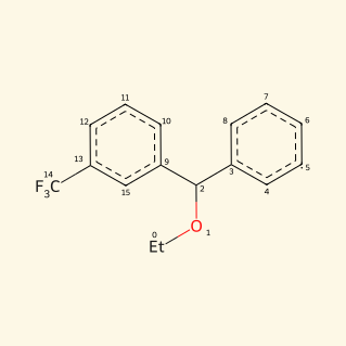 CCOC(c1c[c]ccc1)c1cccc(C(F)(F)F)c1